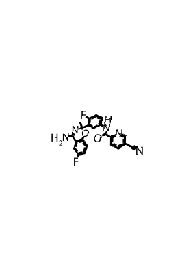 CC1(c2cc(NC(=O)c3ccc(C#N)cn3)ccc2F)N=C(N)c2cc(F)ccc2O1